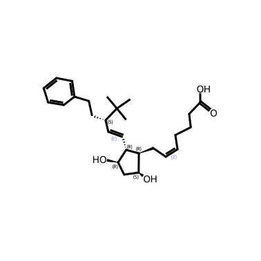 CC(C)(C)[C@H](/C=C/[C@@H]1[C@@H](C/C=C\CCCC(=O)O)[C@@H](O)C[C@H]1O)CCc1ccccc1